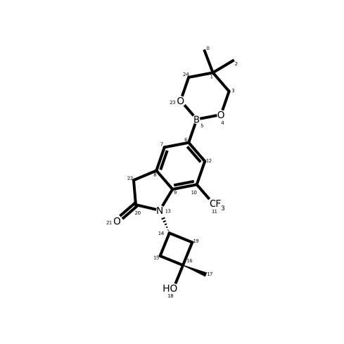 CC1(C)COB(c2cc3c(c(C(F)(F)F)c2)N([C@H]2C[C@@](C)(O)C2)C(=O)C3)OC1